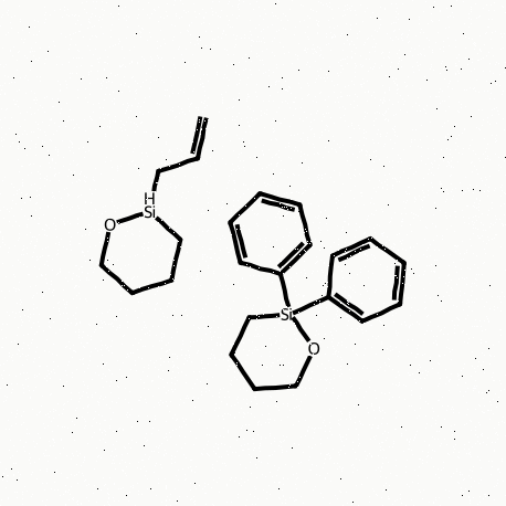 C=CC[SiH]1CCCCO1.c1ccc([Si]2(c3ccccc3)CCCCO2)cc1